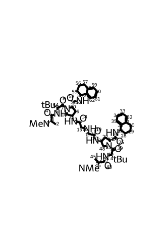 CN[C@@H](C)C(=O)N[C@H](C(=O)N1C[C@@H](NC(=O)CNCC(=O)N[C@H]2C[C@@H](C(=O)N[C@@H]3CCCc4ccccc43)N(C(=O)[C@@H](NC(=O)[C@H](C)NC)C(C)(C)C)C2)C[C@H]1C(=O)N[C@@H]1CCCc2ccccc21)C(C)(C)C